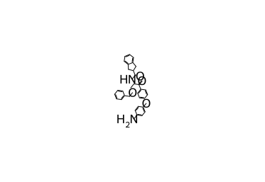 Nc1ccc(Oc2ccc(C(=O)C(COCc3ccccc3)NC(=O)C3Cc4ccccc4C3)cc2)cc1